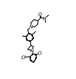 Cc1cc(C2CN(c3c(Cl)cccc3Cl)C2)cc(C)c1CN1CCC(C(=O)N(C)C)CC1